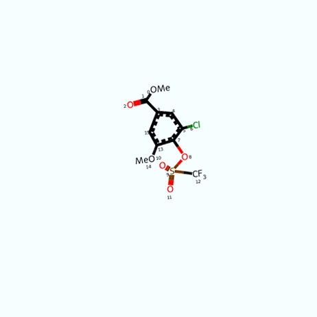 COC(=O)c1cc(Cl)c(OS(=O)(=O)C(F)(F)F)c(OC)c1